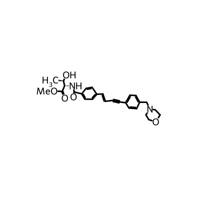 COC(=O)[C@@H](NC(=O)c1ccc(/C=C/C#Cc2ccc(CN3CCOCC3)cc2)cc1)[C@@H](C)O